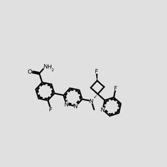 CN(c1ccc(-c2cc(C(N)=O)ccc2F)nn1)[C@]1(c2ncccc2F)C[C@@H](F)C1